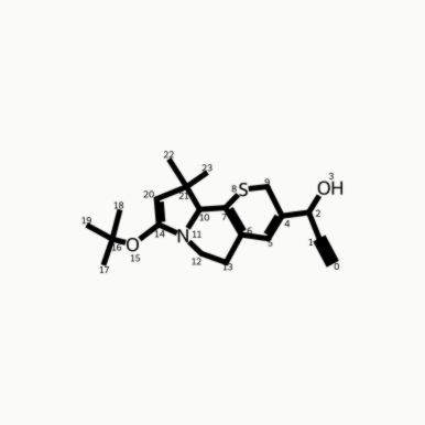 C#CC(O)C1=CC2=C(SC1)C1N(CC2)C(OC(C)(C)C)=CC1(C)C